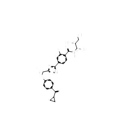 CC[C@@H](Oc1ccc(C(=O)C2CC2)cc1)c1nc(-c2ccc(C(=O)N[C@H](C)[C@@H](O)CO)c(F)c2)no1